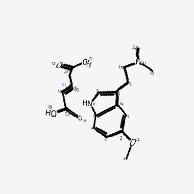 COc1ccc2[nH]cc(CCN(C)C)c2c1.O=C(O)/C=C/C(=O)O